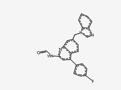 O=CNc1cc(-c2ccc(F)cc2)c2ccc(Cn3cnc4ccccc43)cc2n1